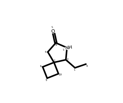 CCC1NC(=O)CC12CCC2